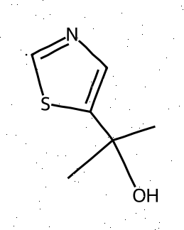 CC(C)(O)c1cn[c]s1